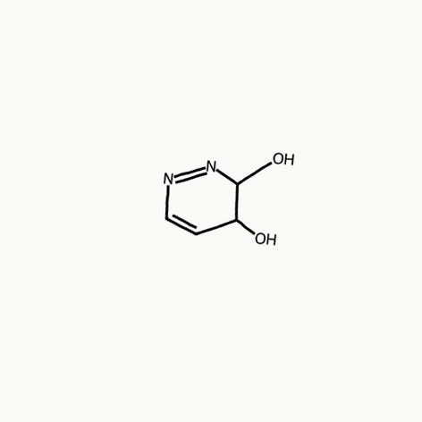 OC1C=CN=NC1O